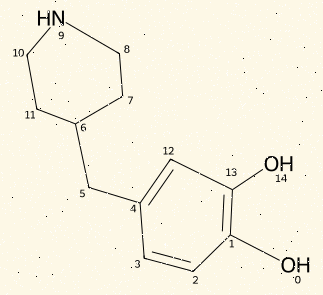 Oc1ccc(CC2CCNCC2)cc1O